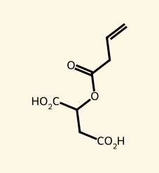 C=CCC(=O)OC(CC(=O)O)C(=O)O